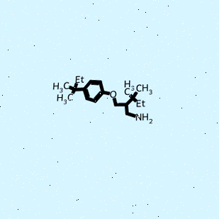 CCC(C)(C)c1ccc(OCC(CN)C(C)(C)CC)cc1